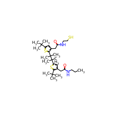 CCCNC(=O)Cc1cc(C(C)(C)C(C)(C)c2sc(C(C)(C)C)cc2CC(=O)NCCS)sc1C(C)(C)C